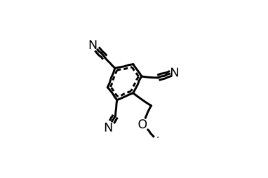 [CH2]OCc1c(C#N)cc(C#N)cc1C#N